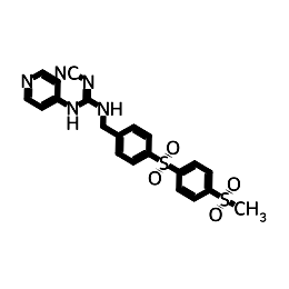 CS(=O)(=O)c1ccc(S(=O)(=O)c2ccc(CNC(=NC#N)Nc3ccncc3)cc2)cc1